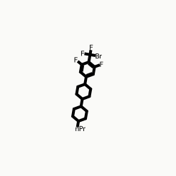 CCCC1CCC(C2CCC(c3cc(F)c(C(F)(F)Br)c(F)c3)CC2)CC1